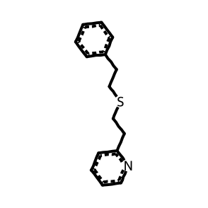 c1ccc(CCSCCc2ccccn2)cc1